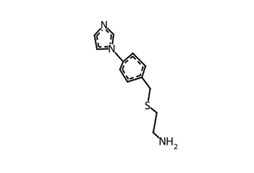 NCCSCc1ccc(-n2ccnc2)cc1